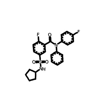 O=C(c1cc(S(=O)(=O)NC2CCCC2)ccc1F)N(c1ccccc1)c1ccc(F)cc1